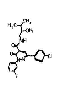 CC(C)[C@@H](O)CNC(=O)c1cc(-c2ccc(Cl)cc2)nn(-c2cccc(F)c2)c1=O